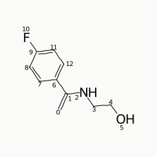 C=C(NCCO)c1ccc(F)cc1